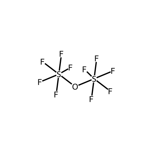 FS(F)(F)(F)(F)OS(F)(F)(F)(F)F